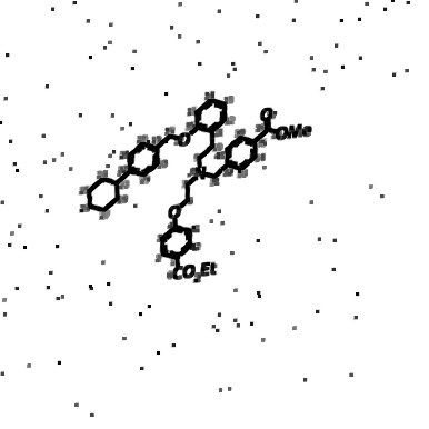 CCOC(=O)c1ccc(OCCN(CCc2ccccc2OCc2ccc(C3CCCCC3)cc2)Cc2ccc(C(=O)OC)cc2)cc1